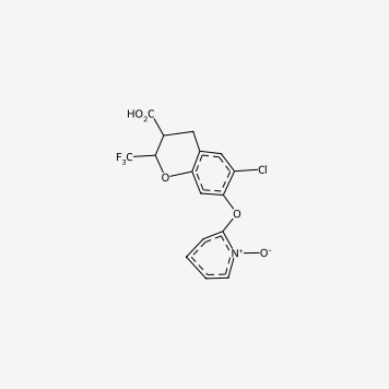 O=C(O)C1Cc2cc(Cl)c(Oc3cccc[n+]3[O-])cc2OC1C(F)(F)F